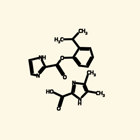 CC(C)c1ccccc1OC(=O)c1ncc[nH]1.Cc1nc(C(=O)O)[nH]c1C